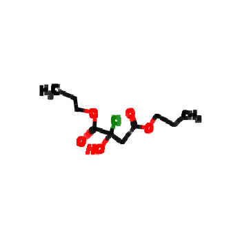 CCCOC(=O)CC(O)(Cl)C(=O)OCCC